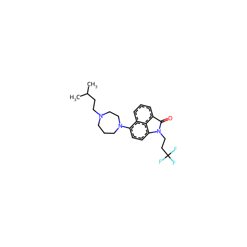 CC(C)CCN1CCCN(c2ccc3c4c(cccc24)C(=O)N3CCC(F)(F)F)CC1